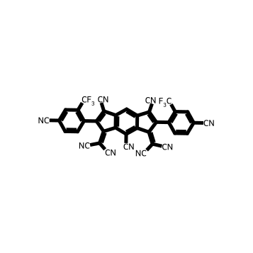 N#CC(C#N)=C1C(c2ccc(C#N)cc2C(F)(F)F)=C(C#N)c2cc3c(c(C#N)c21)C(=C(C#N)C#N)C(c1ccc(C#N)cc1C(F)(F)F)=C3C#N